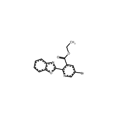 CCOC(=O)c1cc(Br)cnc1-c1nc2ccccc2o1